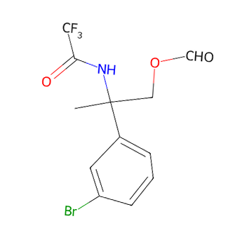 CC(COC=O)(NC(=O)C(F)(F)F)c1cccc(Br)c1